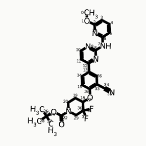 COc1cccc(Nc2nccc(-c3ccc(OC4CCN(C(=O)OC(C)(C)C)CC4(F)F)c(C#N)c3)n2)n1